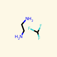 FC(F)F.NCCN